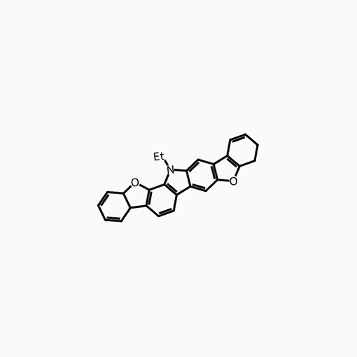 CCn1c2cc3c4c(oc3cc2c2ccc3c(c21)OC1C=CC=CC31)CCC=C4